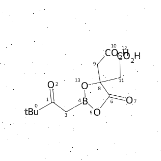 CC(C)(C)C(=O)CB1OC(=O)C(CC(=O)O)(CC(=O)O)O1